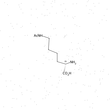 CC(=O)NCCCC[C@H](N)C(=O)O